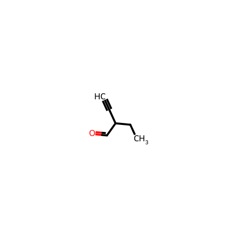 C#CC(C=O)CC